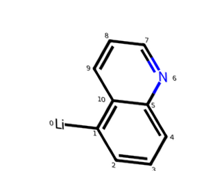 [Li][c]1cccc2ncccc12